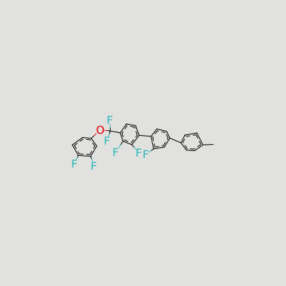 Cc1ccc(-c2ccc(-c3ccc(C(F)(F)Oc4ccc(F)c(F)c4)c(F)c3F)c(F)c2)cc1